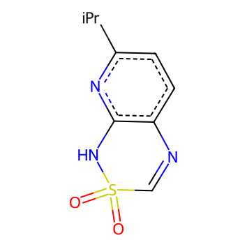 CC(C)c1ccc2c(n1)NS(=O)(=O)C=N2